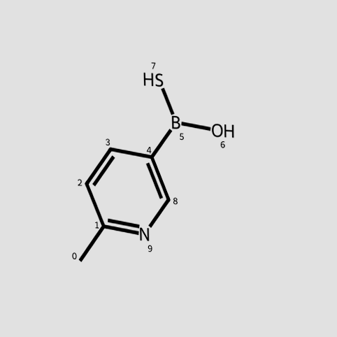 Cc1ccc(B(O)S)cn1